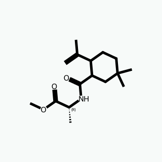 C=C(C)C1CCC(C)(C)CC1C(=O)N[C@H](C)C(=O)OC